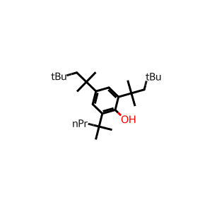 CCCC(C)(C)c1cc(C(C)(C)CC(C)(C)C)cc(C(C)(C)CC(C)(C)C)c1O